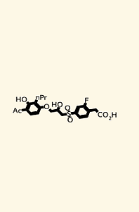 CCCc1c(OCC(O)CS(=O)(=O)c2ccc(CC(=O)O)c(F)c2)ccc(C(C)=O)c1O